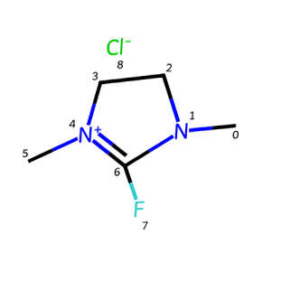 CN1CC[N+](C)=C1F.[Cl-]